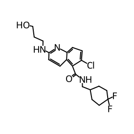 O=C(NCC1CCC(F)(F)CC1)c1c(Cl)ccc2nc(NCCCO)ccc12